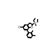 CC[N+](C)(CC)C1Cc2cc(Cl)cc(-c3cccc(C)c3C)c2O1